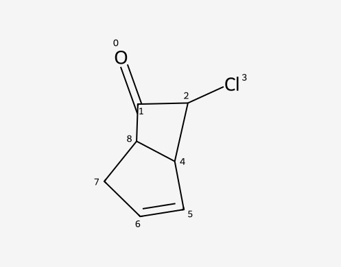 O=C1C(Cl)C2C=CCC12